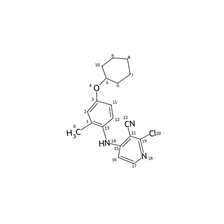 Cc1cc(OC2CCCCC2)ccc1Nc1ccnc(Cl)c1C#N